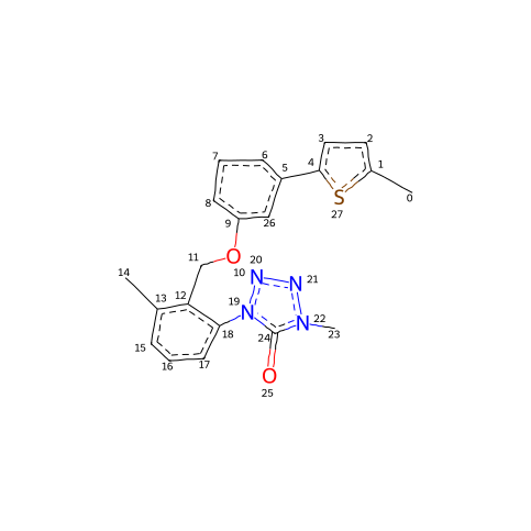 Cc1ccc(-c2cccc(OCc3c(C)cccc3-n3nnn(C)c3=O)c2)s1